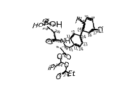 CCC(=O)OC(OC(=O)C[C@@H](Cc1ccc(-c2cc(Cl)ccc2F)cc1)NC(=O)CCP(=O)(O)O)C(C)C